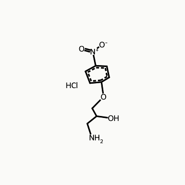 Cl.NCC(O)COc1ccc([N+](=O)[O-])cc1